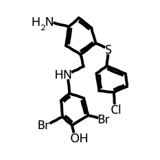 Nc1ccc(Sc2ccc(Cl)cc2)c(CNc2cc(Br)c(O)c(Br)c2)c1